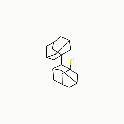 SC12CC3CC(CC(C3)C1C13CC4CC(CC(C4)C1)C3)C2